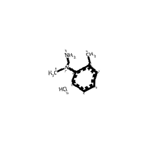 Cc1ccccc1N(C)N.Cl